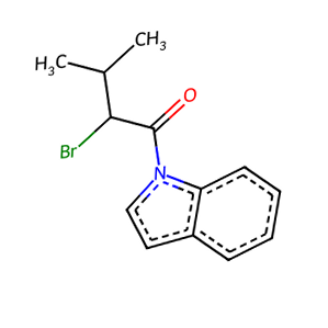 CC(C)C(Br)C(=O)n1ccc2ccccc21